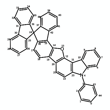 c1ccc(-n2c3ccccc3c3c4oc5c6c(ccc5c4ccc32)C2(c3ccccc3-c3ccccc32)c2ccccc2-6)cc1